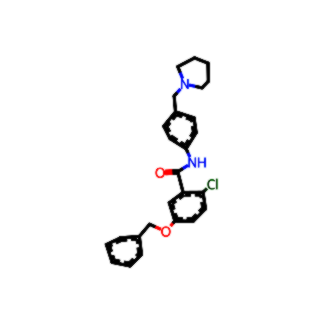 O=C(Nc1ccc(CN2CCCCC2)cc1)c1cc(OCc2ccccc2)ccc1Cl